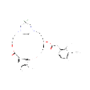 COc1cc2cc(c1OC)OCCC[C@H](OC(=O)Cc1ccc(OC)c(OC)c1OC)CCN1CCN(CCCOC2=O)CC(F)(F)C1